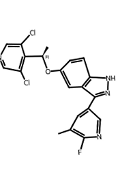 Cc1cc(-c2n[nH]c3ccc(O[C@H](C)c4c(Cl)cncc4Cl)cc23)cnc1F